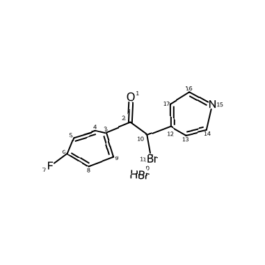 Br.O=C(c1ccc(F)cc1)C(Br)c1ccncc1